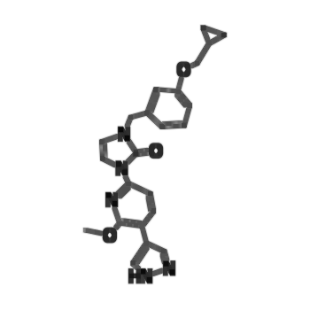 COc1nc(-n2ccn(Cc3cccc(OCC4CC4)c3)c2=O)ccc1-c1cn[nH]c1